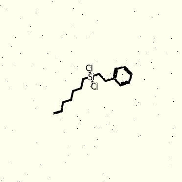 CCCCCCC[Si](Cl)(Cl)CCc1ccccc1